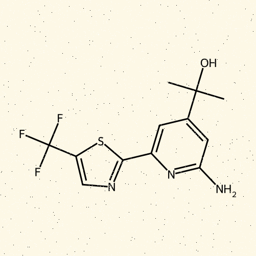 CC(C)(O)c1cc(N)nc(-c2ncc(C(F)(F)F)s2)c1